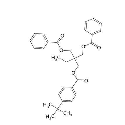 CCC(COC(=O)c1ccccc1)(COC(=O)c1ccccc1)COC(=O)c1ccc(C(C)(C)C)cc1